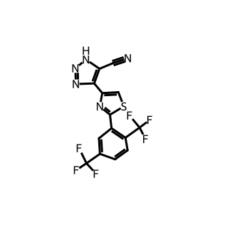 N#Cc1[nH]nnc1-c1csc(-c2cc(C(F)(F)F)ccc2C(F)(F)F)n1